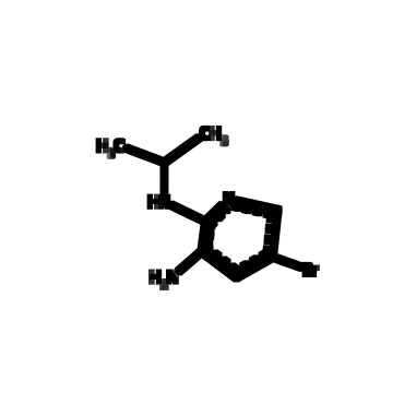 CC(C)Nc1ncc(Br)cc1N